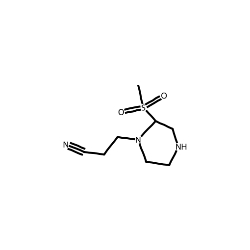 CS(=O)(=O)C1CNCCN1CCC#N